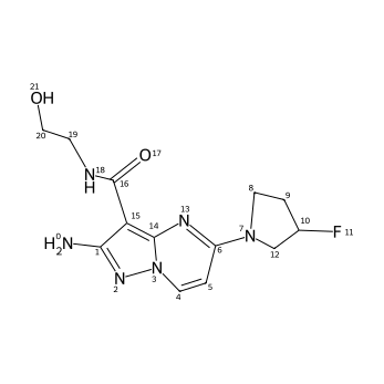 Nc1nn2ccc(N3CCC(F)C3)nc2c1C(=O)NCCO